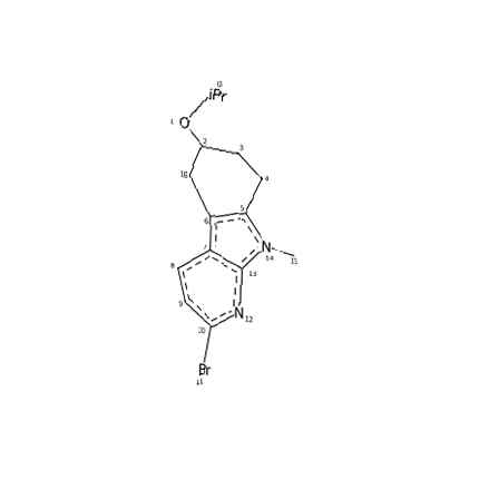 CC(C)OC1CCc2c(c3ccc(Br)nc3n2C)C1